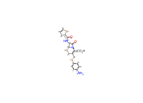 Nc1ccc(SCC2=C(C(=O)O)N3C(=O)C(NC(=O)C4CC=CS4)C3SC2)cc1